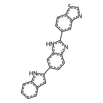 c1ccc2[nH]c(-c3ccc4nc(-c5ccc6scnc6c5)[nH]c4c3)cc2c1